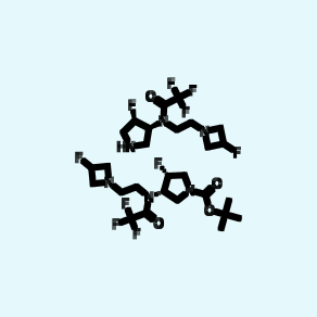 CC(C)(C)OC(=O)N1C[C@@H](F)[C@@H](N(CCN2CC(F)C2)C(=O)C(F)(F)F)C1.O=C(N(CCN1CC(F)C1)[C@H]1CNC[C@H]1F)C(F)(F)F